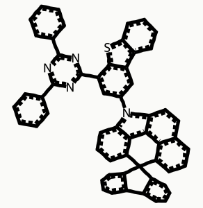 c1ccc(-c2nc(-c3ccccc3)nc(-c3cc(-n4c5cccc6c5c5c7c(cccc7ccc54)C64c5ccccc5-c5ccccc54)cc4c3sc3ccccc34)n2)cc1